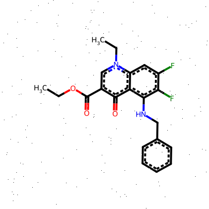 CCOC(=O)c1cn(CC)c2cc(F)c(F)c(NCc3ccccc3)c2c1=O